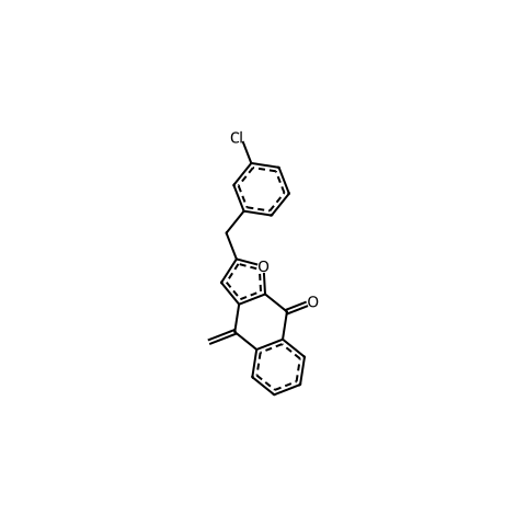 C=C1c2ccccc2C(=O)c2oc(Cc3cccc(Cl)c3)cc21